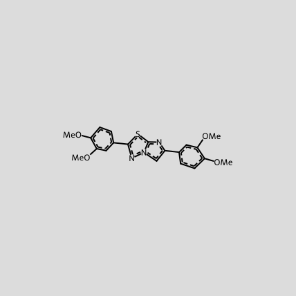 COc1ccc(-c2cn3nc(-c4ccc(OC)c(OC)c4)sc3n2)cc1OC